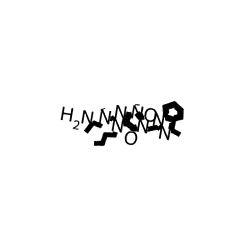 CCCCn1c(N(C)CC(C)N)nc2c1c(=O)n(Cc1nc(C)c3ccccc3n1)c(=O)n2C